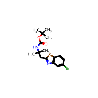 CC(C)(Cc1nc2cc(Br)ccc2s1)NC(=O)OC(C)(C)C